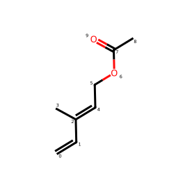 C=C/C(C)=C/COC(C)=O